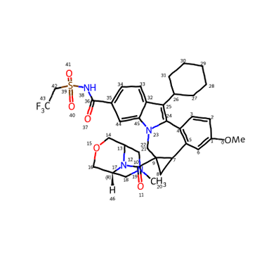 COc1ccc2c(c1)C1CC1(C(=O)N1C3COC[C@H]1CN(C)C3)Cn1c-2c(C2CCCCC2)c2ccc(C(=O)NS(=O)(=O)CC(F)(F)F)cc21